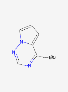 CC(C)(C)c1ncnn2cccc12